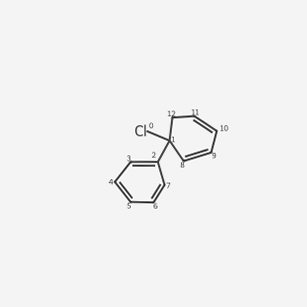 ClC1(c2ccccc2)C=CC=CC1